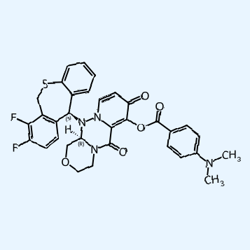 CN(C)c1ccc(C(=O)Oc2c3n(ccc2=O)N([C@@H]2c4ccccc4SCc4c2ccc(F)c4F)[C@@H]2COCCN2C3=O)cc1